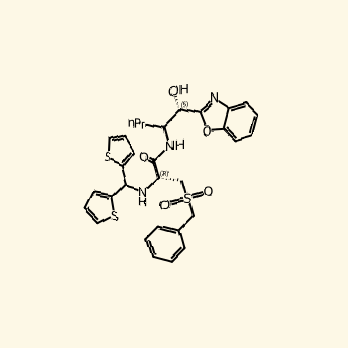 CCCC(NC(=O)[C@H](CS(=O)(=O)Cc1ccccc1)NC(c1cccs1)c1cccs1)[C@H](O)c1nc2ccccc2o1